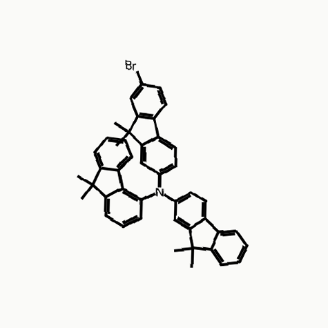 CC1(C)c2ccccc2-c2ccc(N(c3ccc4c(c3)C(C)(C)c3cc(Br)ccc3-4)c3cccc4c3-c3ccccc3C4(C)C)cc21